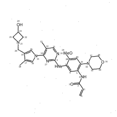 C=CC(=O)Nc1cc(Nc2ncc(C)c(-n3cc(C)c(CN4CC(O)C4)c3)n2)c(OC)cc1N1CCOCC1